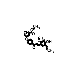 C=CCc1cc(C=CC(=O)c2ccc(OC(CC)CCC(=O)OCC)cc2)c(OC)cc1O